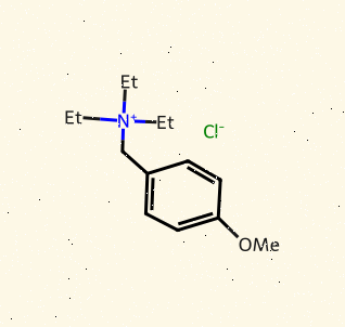 CC[N+](CC)(CC)Cc1ccc(OC)cc1.[Cl-]